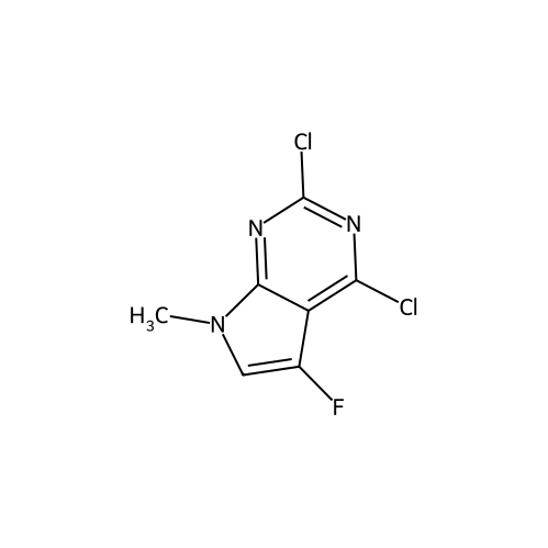 Cn1cc(F)c2c(Cl)nc(Cl)nc21